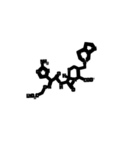 CCOC(=O)CON=C(C(=O)NC1C(=O)N2C(C(=O)[O-])=C(C[n+]3ccc4ccsc4c3)CS[C@@H]12)c1coc(N)n1